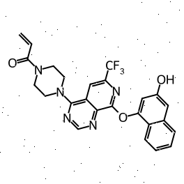 C=CC(=O)N1CCN(c2ncnc3c(Oc4cc(O)cc5ccccc45)nc(C(F)(F)F)cc23)CC1